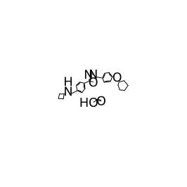 O=CO.c1cc(-c2nnc(-c3ccc(OC4CCCCC4)cc3)o2)ccc1CNC1CCC1